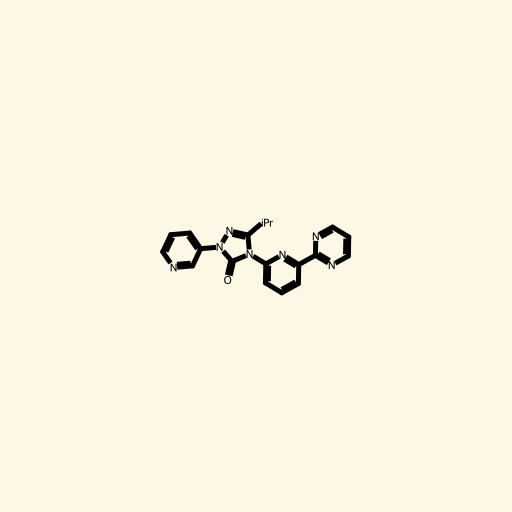 CC(C)c1nn(-c2cccnc2)c(=O)n1-c1cccc(-c2ncccn2)n1